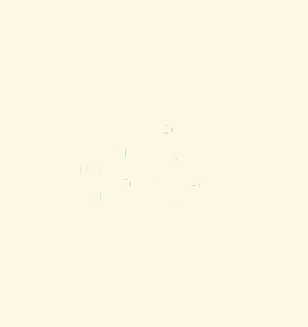 CCC1=Cc2ccccc2[CH]1[Zr]([CH3])([CH3])([SiH3])([Cl])([Cl])[CH]1C(CC)=Cc2ccccc21